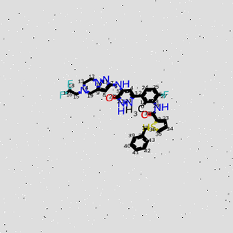 Cc1c(-c2cc(Nc3cc4n(n3)CCN(CC(F)F)C4)c(=O)[nH]n2)ccc(F)c1NC(=O)C1=CC=C[SH]1Cc1ccccc1